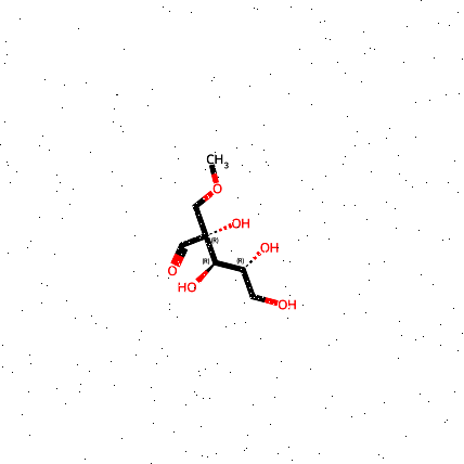 COC[C@](O)(C=O)[C@H](O)[C@H](O)CO